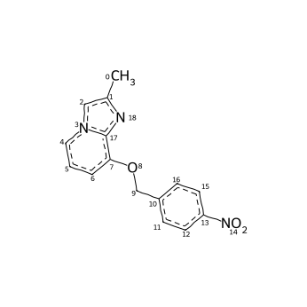 Cc1cn2cccc(OCc3ccc([N+](=O)[O-])cc3)c2n1